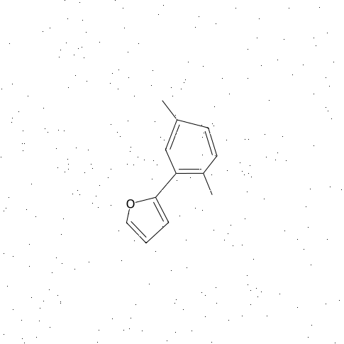 Cc1ccc(C)c(-c2ccco2)c1